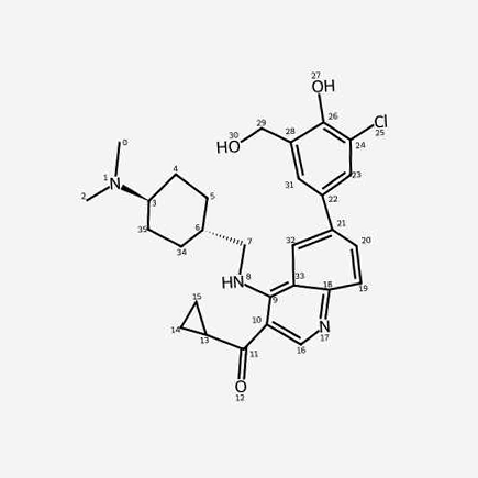 CN(C)[C@H]1CC[C@H](CNc2c(C(=O)C3CC3)cnc3ccc(-c4cc(Cl)c(O)c(CO)c4)cc23)CC1